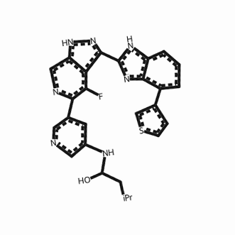 CC(C)CC(O)Nc1cncc(-c2ncc3[nH]nc(-c4nc5c(-c6ccsc6)cccc5[nH]4)c3c2F)c1